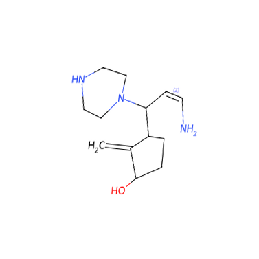 C=C1C(O)CCC1C(/C=C\N)N1CCNCC1